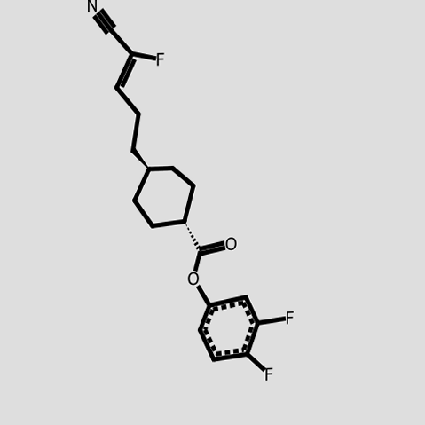 N#CC(F)=CCC[C@H]1CC[C@H](C(=O)Oc2ccc(F)c(F)c2)CC1